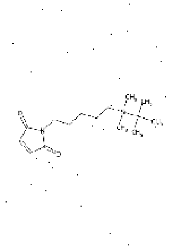 CC(C)(C)[Si](C)(C)CCCCCN1C(=O)C=CC1=O